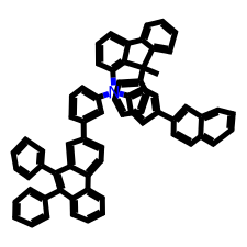 CC1(c2ccccc2)c2ccccc2-c2cccc(N(c3ccc(-c4ccc5ccccc5c4)cc3)c3cccc(-c4ccc5c(c4)c(-c4ccccc4)c(-c4ccccc4)c4ccccc45)c3)c21